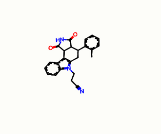 Cc1ccccc1C1Cc2c(c3ccccc3n2CCC#N)C2C(=O)NC(=O)C12